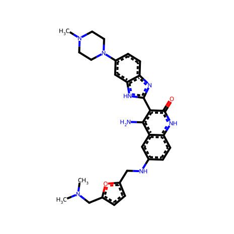 CN(C)Cc1ccc(CNc2ccc3[nH]c(=O)c(-c4nc5ccc(N6CCN(C)CC6)cc5[nH]4)c(N)c3c2)o1